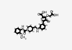 CSc1ccccc1NC(=O)N1CCC(CNc2cccc(-c3sc(C(=O)O)c(OCC(=O)O)c3Br)c2)CC1